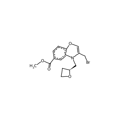 COC(=O)c1ccc2c(c1)N(C[C@@H]1CCO1)C(CBr)=CO2